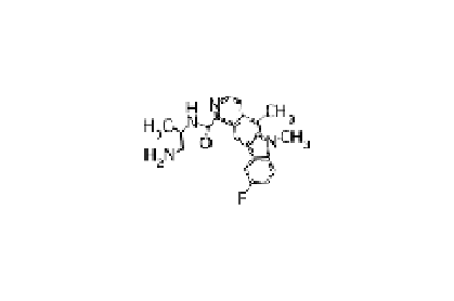 Cc1c2ccnc(C(=O)N[C@H](C)CN)c2cc2c3cc(F)ccc3n(C)c12